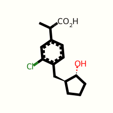 CC(C(=O)O)c1ccc(C[C@@H]2CCC[C@H]2O)c(Cl)c1